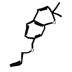 C=CCOc1ccc2c(c1)OC(C)(C)C=C2